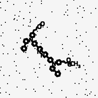 COC(=O)CCc1ccc(N(c2ccc(-c3ccc(-c4ccc(-c5ccc(N(c6ccc(CCCOC=O)cc6)c6cccc(-c7ccccc7)c6)cc5)cn4)nc3)cc2)c2cccc(-c3ccccc3)c2)cc1